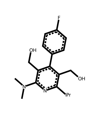 CC(C)c1nc(N(C)C)c(CO)c(-c2ccc(F)cc2)c1CO